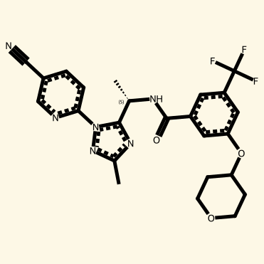 Cc1nc([C@H](C)NC(=O)c2cc(OC3CCOCC3)cc(C(F)(F)F)c2)n(-c2ccc(C#N)cn2)n1